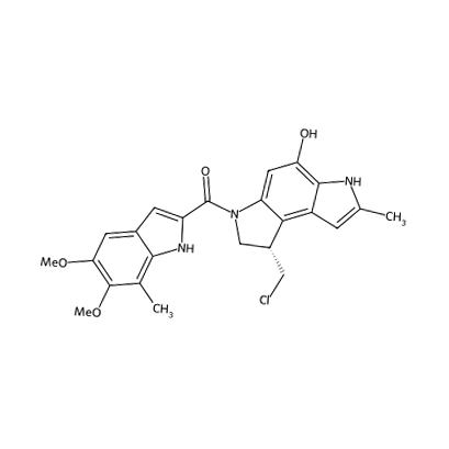 COc1cc2cc(C(=O)N3C[C@@H](CCl)c4c3cc(O)c3[nH]c(C)cc43)[nH]c2c(C)c1OC